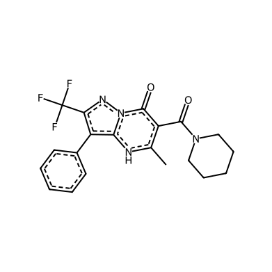 Cc1[nH]c2c(-c3ccccc3)c(C(F)(F)F)nn2c(=O)c1C(=O)N1CCCCC1